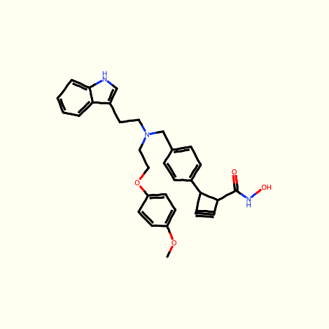 COc1ccc(OCCN(CCc2c[nH]c3ccccc23)Cc2ccc(C3C#CC3C(=O)NO)cc2)cc1